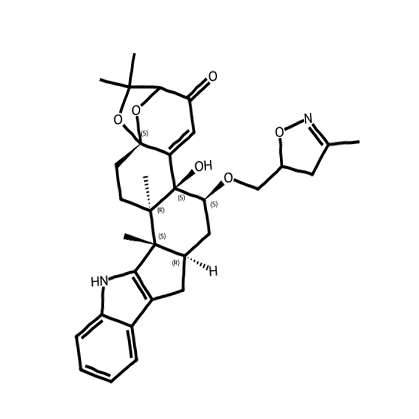 CC1=NOC(CO[C@H]2C[C@H]3Cc4c([nH]c5ccccc45)[C@]3(C)[C@@]3(C)CC[C@@]45OC(C(=O)C=C4[C@]23O)C(C)(C)O5)C1